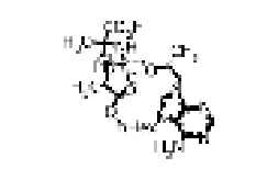 CCCCCCOC(=O)[C@@H](C)N[P@@](=O)(CO[C@H](C)Cn1cnc2c(N)ncnc21)NC(C)(C)C(=O)O